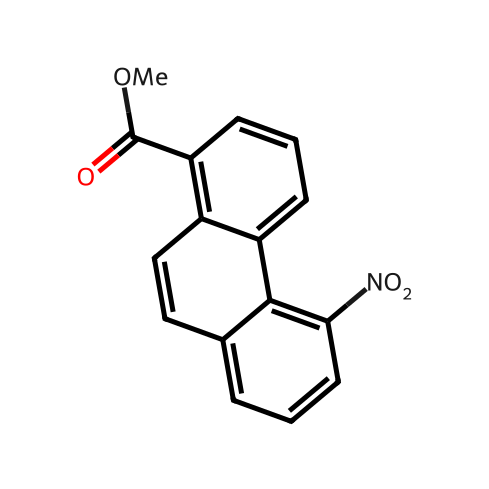 COC(=O)c1cccc2c1ccc1cccc([N+](=O)[O-])c12